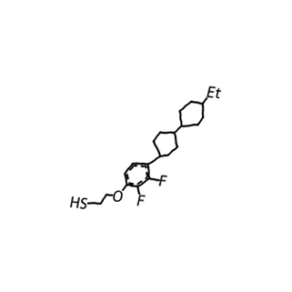 CCC1CCC(C2CCC(c3ccc(OCCS)c(F)c3F)CC2)CC1